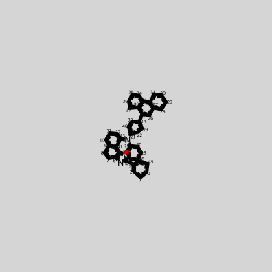 c1ccc(-c2nc3ccc4cccc(N(c5ccccc5)c5ccc(-c6cc7ccccc7c7ccccc67)cc5)c4c3o2)cc1